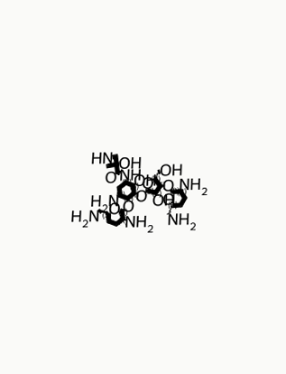 NC[C@@H]1CC[C@@H](N)[C@@H](O[C@H]2[C@H](O[C@@H]3O[C@H](CO)[C@@H](O[C@H]4O[C@@H](CN)CC[C@H]4N)[C@H]3O)[C@@H](O)[C@H](NC(=O)C3(O)CNC3)C[C@@H]2N)O1